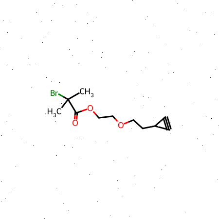 CC(C)(Br)C(=O)OCCOCCC1C#C1